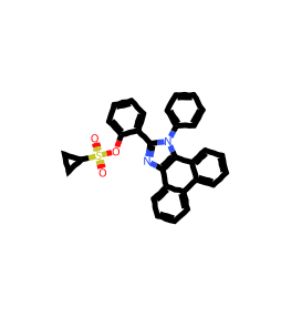 O=S(=O)(Oc1ccccc1-c1nc2c3ccccc3c3ccccc3c2n1-c1ccccc1)C1CC1